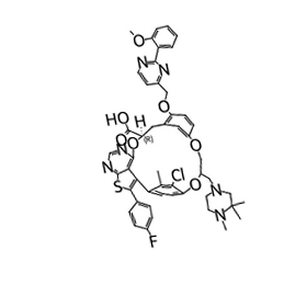 COc1ccccc1-c1nccc(COc2ccc3cc2C[C@H](C(=O)O)Oc2ncnc4sc(-c5ccc(F)cc5)c(c24)-c2ccc(c(Cl)c2C)OC(CN2CCN(C)C(C)(C)C2)CO3)n1